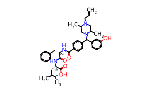 C=CCN1CC(C)N(C(c2ccc(C(=O)N[C@@H](Cc3ccccc3)C(=O)N[C@@H](CC(C)C)C(=O)O)cc2)c2cccc(O)c2)CC1C